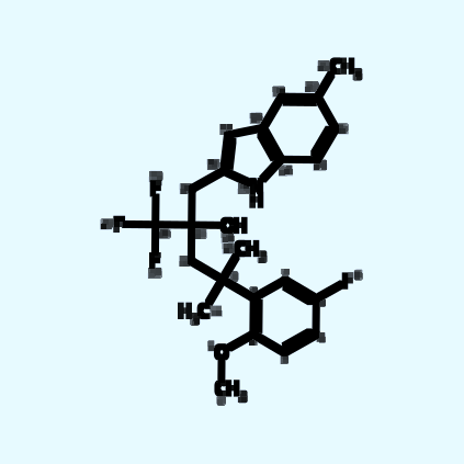 COc1ccc(F)cc1C(C)(C)CC(O)(Cc1cc2cc(C)ccc2[nH]1)C(F)(F)F